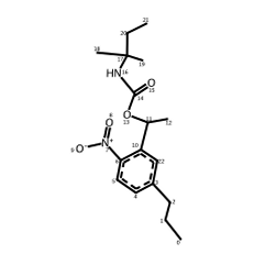 CCCc1ccc([N+](=O)[O-])c(C(C)OC(=O)NC(C)(C)CC)c1